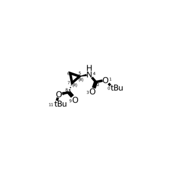 CC(C)(C)OC(=O)N[C@@H]1C[C@H]1C(=O)OC(C)(C)C